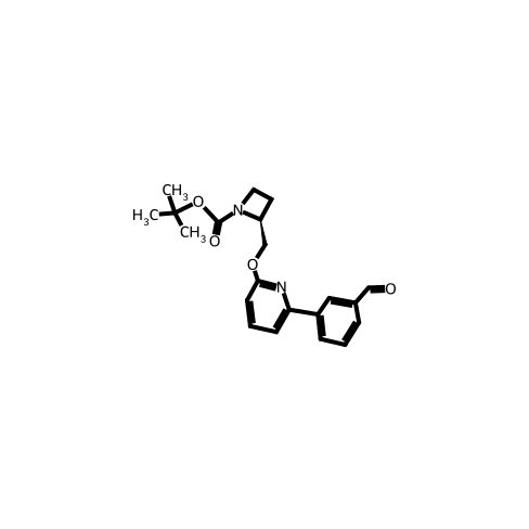 CC(C)(C)OC(=O)N1CC[C@H]1COc1cccc(-c2cccc(C=O)c2)n1